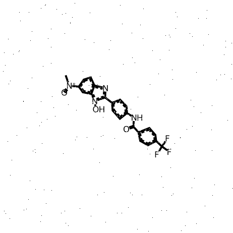 C[N+](=O)c1ccc2nc(-c3ccc(NC(=O)c4ccc(C(F)(F)F)cc4)cc3)n(O)c2c1